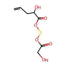 C=CCC(O)C(=O)OSOC(=O)CO